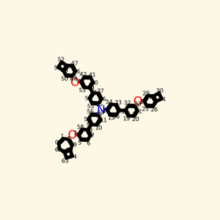 C1=CC(Oc2cccc(-c3ccc(N(c4ccc(-c5cccc(Oc6ccc7c(c6)CC7)c5)cc4)c4ccc(-c5cccc(Oc6ccc7c(c6)CC7)c5)cc4)cc3)c2)=CC2=C(C1)CC2